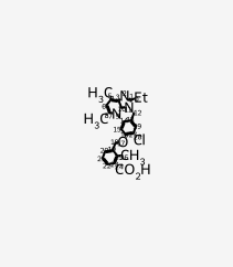 CCc1nc2c(C)cc(C)nc2n1Cc1ccc(OCc2cccc(C(=O)O)c2C)c(Cl)c1